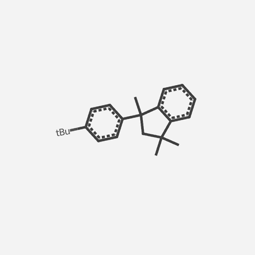 CC(C)(C)c1ccc(C2(C)CC(C)(C)c3ccccc32)cc1